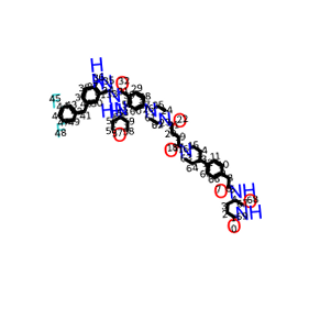 O=C1CCC(NC(=O)Cc2ccc(C3CCN(C(=O)CCC(=O)N4CCN(c5ccc(C(=O)Nc6n[nH]c7ccc(Cc8cc(F)cc(F)c8)cc67)c(NC6CCOCC6)c5)CC4)CC3)cc2)C(=O)N1